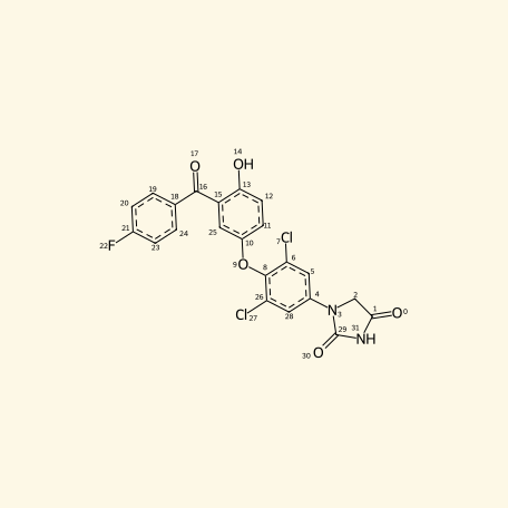 O=C1CN(c2cc(Cl)c(Oc3ccc(O)c(C(=O)c4ccc(F)cc4)c3)c(Cl)c2)C(=O)N1